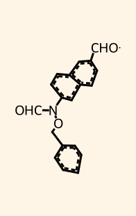 O=[C]c1ccc2cc(N(C=O)OCc3ccccc3)ccc2c1